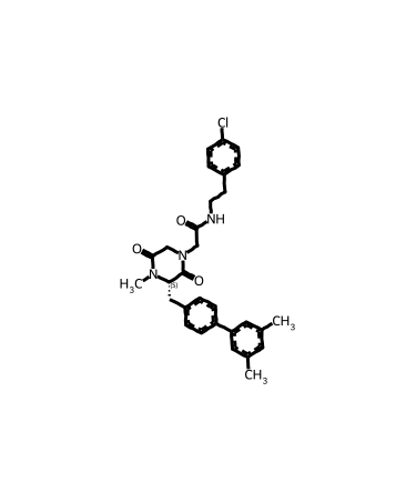 Cc1cc(C)cc(-c2ccc(C[C@H]3C(=O)N(CC(=O)NCCc4ccc(Cl)cc4)CC(=O)N3C)cc2)c1